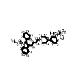 CC(C)C(=O)Nc1cccc(C2CCN(CCCCc3c(-c4ccccc4)n(C)c4ccccc34)CC2)c1